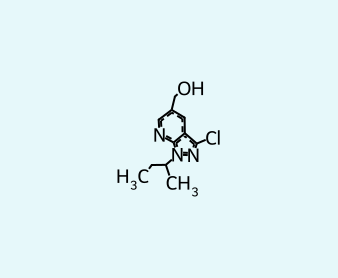 CCC(C)n1nc(Cl)c2cc(CO)cnc21